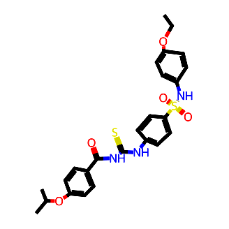 CCOc1ccc(NS(=O)(=O)c2ccc(NC(=S)NC(=O)c3ccc(OC(C)C)cc3)cc2)cc1